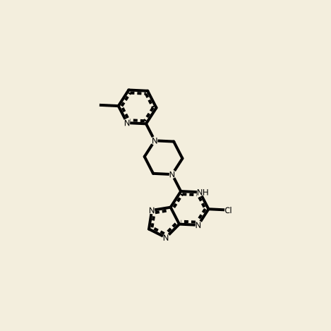 Cc1cccc(N2CCN(c3[nH]c(Cl)nc4ncnc3-4)CC2)n1